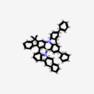 CC1(C)c2ccccc2-c2c1cc1c3c2-c2cccc4c5cc6ccccc6cc5n(c24)B3c2cc(-c3ccccc3)cc3c4cc(-c5ccccc5)ccc4n-1c23